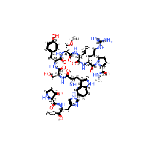 CC(=O)OC(=O)[C@H](Cc1c[nH]cn1)NC(=O)[C@H]1NCCC1=O.CCNC(=O)[C@@H]1CCCN1C(=O)[C@H](CCCNC(=N)N)NC(=O)[C@H](CC(C)C)NC(=O)[C@@H](COC(C)(C)C)NC(=O)[C@H](Cc1ccc(O)cc1)NC(=O)[C@H](CO)NC(=O)[C@@H](N)Cc1c[nH]c2ccccc12